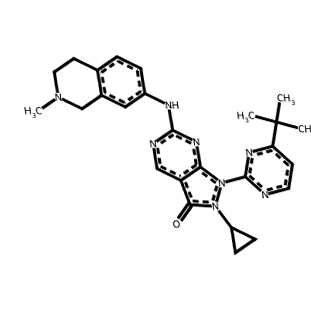 CN1CCc2ccc(Nc3ncc4c(=O)n(C5CC5)n(-c5nccc(C(C)(C)C)n5)c4n3)cc2C1